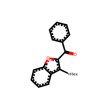 CCCCCCc1c(C(=O)c2ccccc2)oc2ccccc12